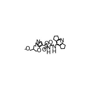 COCC1COc2c(S(=O)(=O)NC(=O)Nc3c4c(nc5c3CCC5)CCC4)cnn2C1